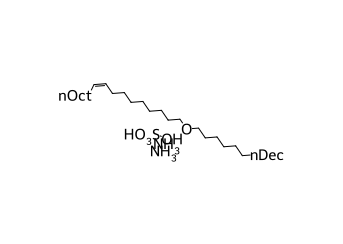 CCCCCCCC/C=C\CCCCCCCCOCCCCCCCCCCCCCCCC.N.N.O=S(=O)(O)O